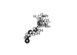 CC(OC(=O)C(C)C)OP(=O)(OC(C)OC(=O)C(C)(C)C)OP(=O)(O)OC[C@H]1O[C@@H](n2ccc(=O)n(Cc3noc4ccccc34)c2=O)C(O)[C@H]1O